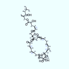 C=C(COC(=O)C(O)C/C=C\C[C@@H]1O[C@@H]2/C=C/C/C=C/C(C)=C\[C@H]3O[C@@H](C/C=C/C=C/C(=O)O[C@H](C2)[C@@]1(C)CO)CC(O)(O)[C@H]3C)C(O)CC(C)C